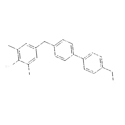 Cc1cc(Cc2ccc(-c3ccc(CP)cc3)cc2)cc(C)c1O